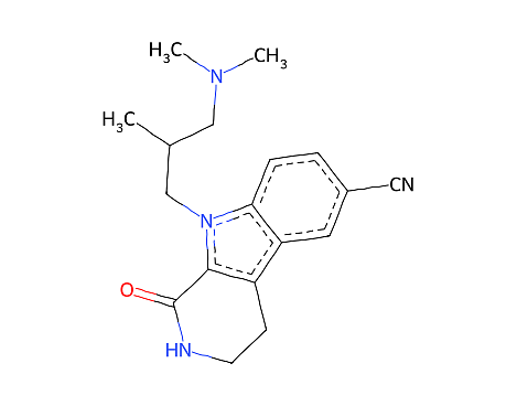 CC(CN(C)C)Cn1c2c(c3cc(C#N)ccc31)CCNC2=O